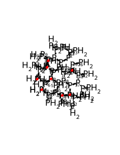 [3H]P(P(P(P(P)P)P(PP)P(P)P)P(P(P(P)P)P(P)P)P(P(P)P)P(P)P)P(P(P(P(P)P)P(P)P)P(P(P)P)P(P)P)P(P(P(P)P)P(P)P)P(P(P)P)P(P)P